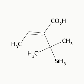 CC=C(C(=O)O)C(C)(C)[SiH3]